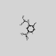 Cc1ccc([N+](=O)[O-])cc1OC(F)F